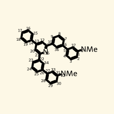 CNc1cccc(-c2cccc(-c3cc(-c4ccccc4)cc(-c4cccc(-c5cccc(NC)c5)c4)n3)c2)c1